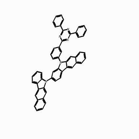 c1ccc(-c2nc(-c3ccccc3)nc(-c3cccc(-n4c5cc(-n6c7ccccc7c7cc8ccccc8cc76)ccc5c5cc6ccccc6cc54)c3)n2)cc1